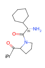 CC(C)C(=O)C1CCCN1C(=O)[C@@H](N)C1CCCCC1